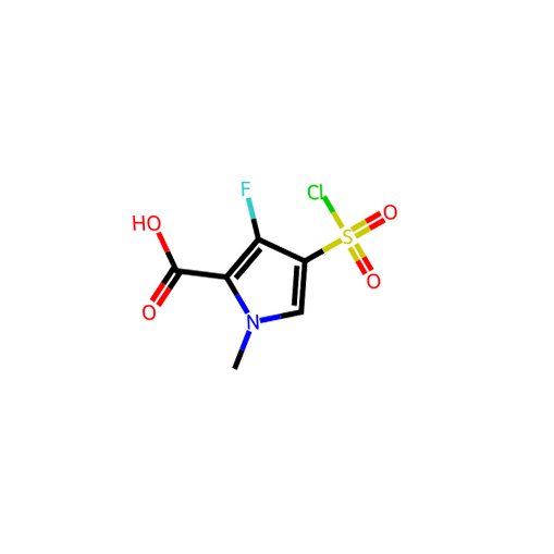 Cn1cc(S(=O)(=O)Cl)c(F)c1C(=O)O